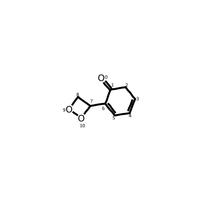 O=C1CC=CC=C1C1COO1